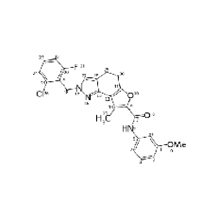 COc1cccc(NC(=O)c2oc3c(c2C)-c2nn(Cc4c(F)cccc4Cl)cc2CC3)c1